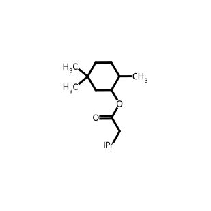 CC(C)CC(=O)OC1CC(C)(C)CCC1C